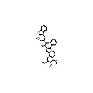 COc1cc2c(c(OC)c1OC)CCn1c-2cc(C(=O)NC(CO)Cc2c[nH]c3ccccc23)c1-c1ccccc1